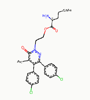 CSCC[C@H](N)C(=O)OCCn1nc(-c2ccc(Cl)cc2)c(-c2ccc(Cl)cc2)c(C(C)=O)c1=O